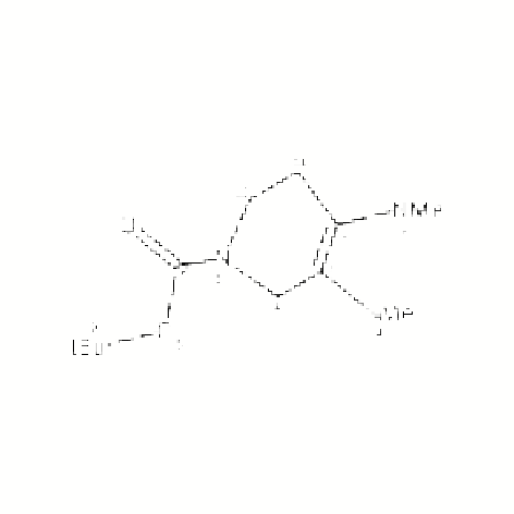 CNC1=C(SC)CN(C(=O)OC(C)(C)C)CC1